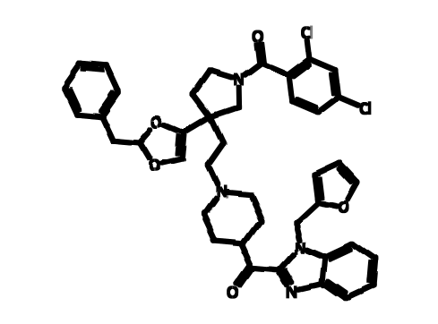 O=C(c1nc2ccccc2n1Cc1ccco1)C1CCN(CCC2(C3=COC(Cc4ccccc4)O3)CCN(C(=O)c3ccc(Cl)cc3Cl)C2)CC1